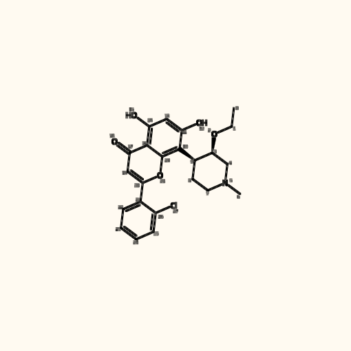 CCO[C@H]1CN(C)CC[C@H]1c1c(O)cc(O)c2c(=O)cc(-c3ccccc3Cl)oc12